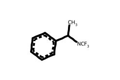 CC(NC(F)(F)F)c1ccccc1